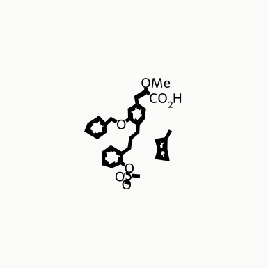 COC(=Cc1ccc(CCCc2ccccc2OS(C)(=O)=O)c(OCc2ccccc2)c1)C(=O)O.Cc1cc2ccc1-2